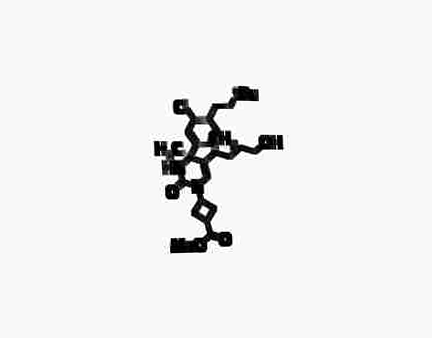 C=C(CCCO)C1=CN(C2CC(C(=O)OC)C2)C(=O)N[C@@]1(C)c1ccc(CCC(C)(C)C)c(Cl)c1